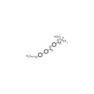 C=CCOc1ccc(-c2ccc(C(=O)Oc3ccc(C(=O)OC(CCCCCCCC)C(F)(F)C(F)(F)F)cc3)cc2)cc1